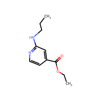 CCCNc1cc(C(=O)OCC)ccn1